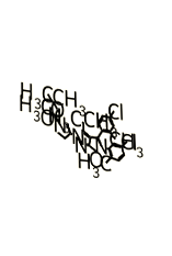 Cc1cc(Cl)ccc1C1c2c(nn(C3CCN(C(=O)OC(C)(C)C)C3)c2C(C)C)C(=O)N1c1cc(Cl)ccc1C